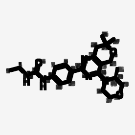 CCNC(=O)Nc1ccc(-c2nc3c(c(N4CCOC[C@@H]4C)n2)COC(C)(C)C3)cc1